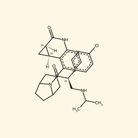 CC(C)NC[C@@H](C(=O)N1C2CCC1CN(c1ncnc3c1[C@H]1C[C@H]1C(=O)N3)C2)c1ccc(Cl)cc1